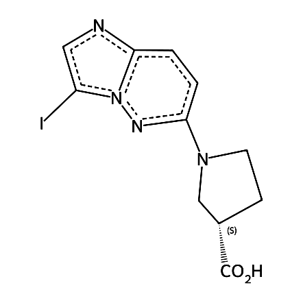 O=C(O)[C@H]1CCN(c2ccc3ncc(I)n3n2)C1